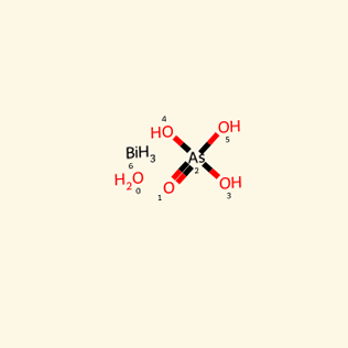 O.O=[As](O)(O)O.[BiH3]